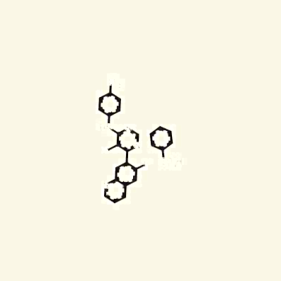 Cc1c(Nc2ccc(C(F)(F)F)cc2)ncnc1-c1cc2ncccc2cc1F.O=S(=O)(O)c1ccccc1